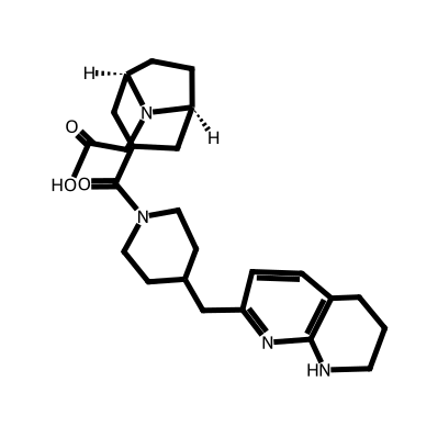 O=C(O)CN1[C@@H]2CC[C@H]1CC(C(=O)N1CCC(Cc3ccc4c(n3)NCCC4)CC1)C2